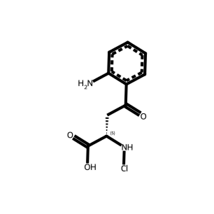 Nc1ccccc1C(=O)C[C@H](NCl)C(=O)O